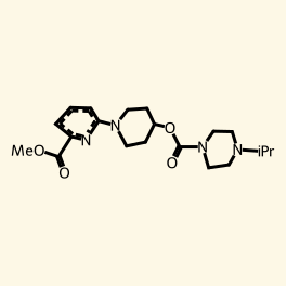 COC(=O)c1cccc(N2CCC(OC(=O)N3CCN(C(C)C)CC3)CC2)n1